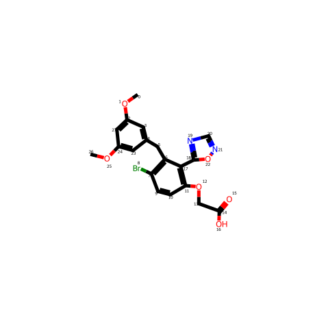 COc1cc(Cc2c(Br)ccc(OCC(=O)O)c2-c2ncno2)cc(OC)c1